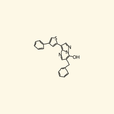 Oc1c(Cc2ccccc2)cnc2c(-c3cc(-c4ccccc4)cs3)cnn12